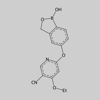 [C-]#[N+]c1cnc(Oc2ccc3c(c2)COB3O)cc1OCC